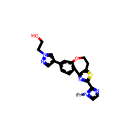 CC(C)n1ccnc1-c1nc2c(s1)CCOc1cc(-c3cnn(CCO)c3)ccc1-2